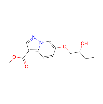 CC[C@@H](O)COc1ccc2c(C(=O)OC)cnn2c1